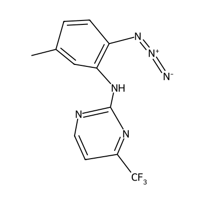 Cc1ccc(N=[N+]=[N-])c(Nc2nccc(C(F)(F)F)n2)c1